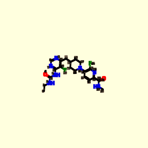 CCNC(=O)Nc1ncnc(CC2CCN(c3ccc(C(=O)NC)nc3F)CC2)c1F